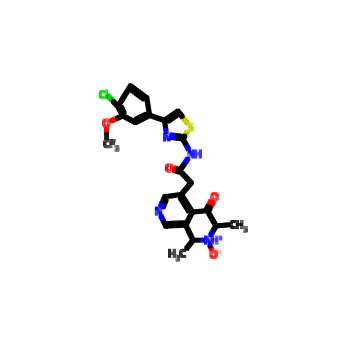 CC1C(=O)c2c(CC(=O)Nc3nc(-c4ccc(Cl)c(OC(F)(F)F)c4)cs3)cncc2C(C)[NH+]1[O-]